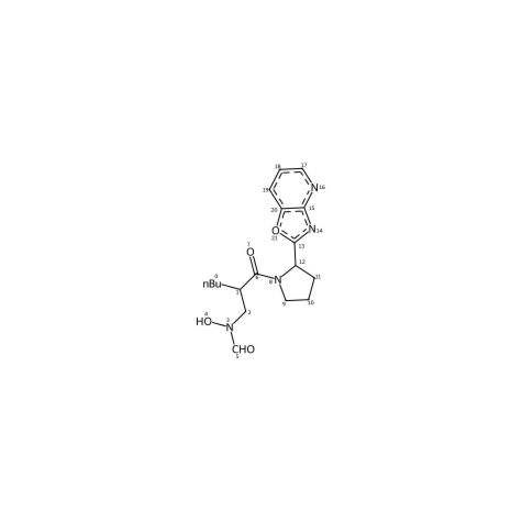 CCCCC(CN(O)C=O)C(=O)N1CCCC1c1nc2ncccc2o1